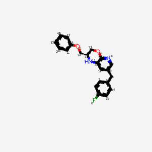 Fc1ccc(Cc2cnc3c(c2)N[C@@H](COc2ccccc2)CO3)cc1